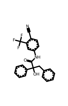 N#Cc1ccc(NC(=O)C(O)(Cc2ccccc2)c2ccccc2)cc1C(F)(F)F